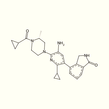 C[C@@H]1CN(c2nc(C3CC3)c(-c3cccc4c3CNC4=O)cc2N)CCN1C(=O)C1CC1